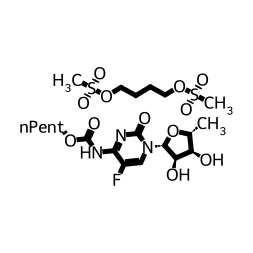 CCCCCOC(=O)Nc1nc(=O)n([C@@H]2O[C@H](C)[C@@H](O)[C@H]2O)cc1F.CS(=O)(=O)OCCCCOS(C)(=O)=O